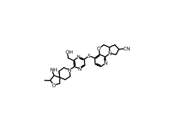 CC1OCC2(CCN(c3ncc(Sc4ccnc5c4OCC4CC(C#N)CN54)nc3CO)CC2)C1N